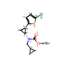 CC(C)(C)OC(=O)N(CC1CC1)[C@@H]1C[C@H]1c1ccc(Br)s1